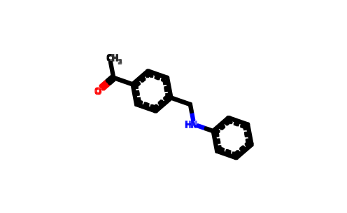 CC(=O)c1ccc(CNc2ccccc2)cc1